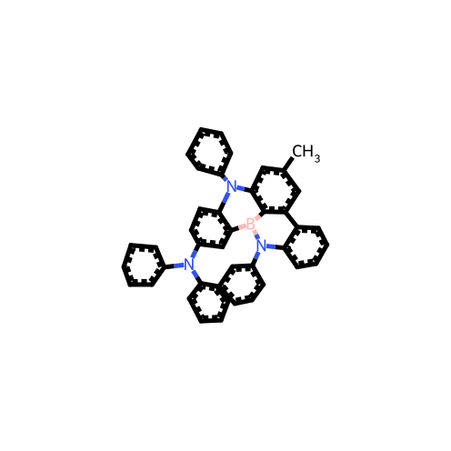 Cc1cc2c3c(c1)N(c1ccccc1)c1ccc(N(c4ccccc4)c4ccccc4)cc1B3N(c1ccccc1)c1ccccc1-2